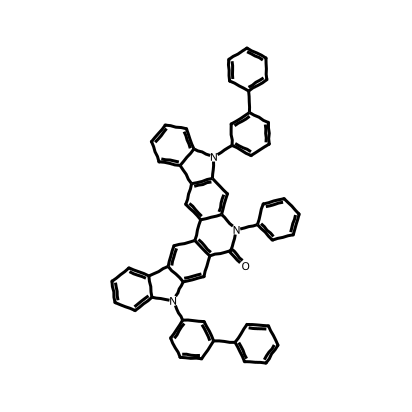 O=c1c2cc3c(cc2c2cc4c5ccccc5n(-c5cccc(-c6ccccc6)c5)c4cc2n1-c1ccccc1)c1ccccc1n3-c1cccc(-c2ccccc2)c1